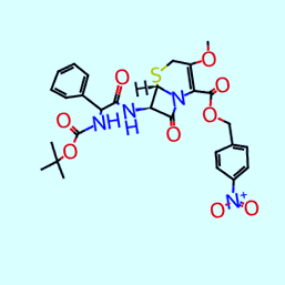 COC1=C(C(=O)OCc2ccc([N+](=O)[O-])cc2)N2C(=O)[C@@H](NC(=O)C(NC(=O)OC(C)(C)C)c3ccccc3)[C@@H]2SC1